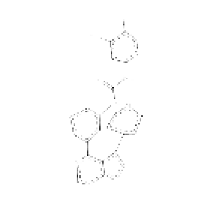 O=C(Nc1cccc(-c2ncnc3scc(-c4ccncc4)c23)c1)Nc1ccc(F)c(C(F)(F)F)c1